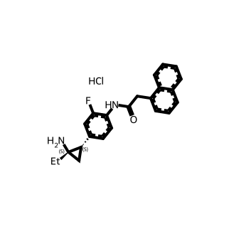 CC[C@]1(N)C[C@H]1c1ccc(NC(=O)Cc2cccc3ccccc23)c(F)c1.Cl